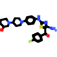 Nc1nc(Nc2ccc(N3CCC(N4CCCC(O)C4)CC3)cc2)sc1C(=O)c1ccc(F)cc1